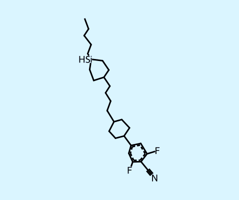 CCCCC[SiH]1CCC(CCCCC2CCC(c3cc(F)c(C#N)c(F)c3)CC2)CC1